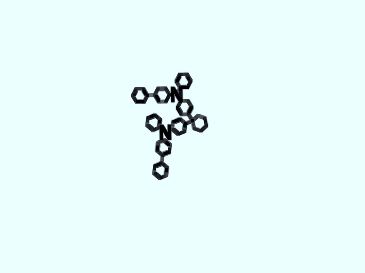 C1=CC(N(c2ccccc2)C2C=CC(C3(c4ccc(N(c5ccccc5)c5ccc(-c6ccccc6)cc5)cc4)CCCCC3)=CC2)CC=C1c1ccccc1